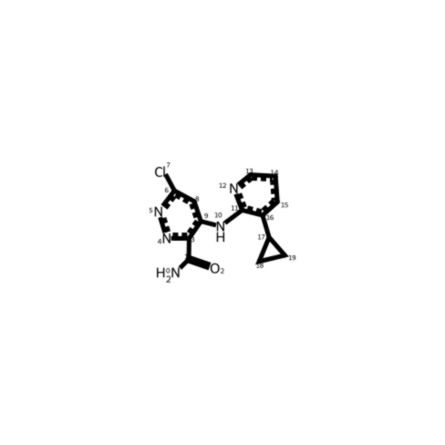 NC(=O)c1nnc(Cl)cc1Nc1ncccc1C1CC1